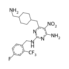 NCC1CCC(Cc2nc(NCc3ccc(F)cc3C(F)(F)F)nc(N)c2[N+](=O)[O-])CC1